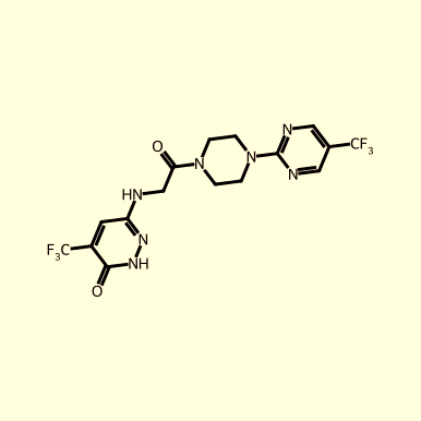 O=C(CNc1cc(C(F)(F)F)c(=O)[nH]n1)N1CCN(c2ncc(C(F)(F)F)cn2)CC1